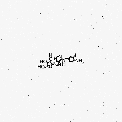 Nc1ccc(CNc2ncnc3c2ncn3[C@@H]2O[C@H](CO)C(O)C2O)cc1I